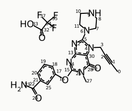 CC#CCn1c(N2CCNCC2)nc2nc(Oc3cccc(C(N)=O)c3)n(C)c(=O)c21.O=C(O)C(F)(F)F